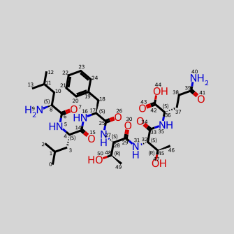 CC(C)C[C@H](NC(=O)[C@@H](N)CC(C)C)C(=O)N[C@@H](Cc1ccccc1)C(=O)N[C@H](C(=O)N[C@H](C(=O)N[C@@H](CCC(N)=O)C(=O)O)[C@@H](C)O)[C@@H](C)O